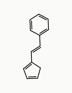 C1=CCC(C=Cc2ccccc2)=C1